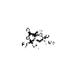 COP(=O)(CN1C(C(C)C)C(=O)OC1(C(F)(F)F)C(F)(F)F)OC